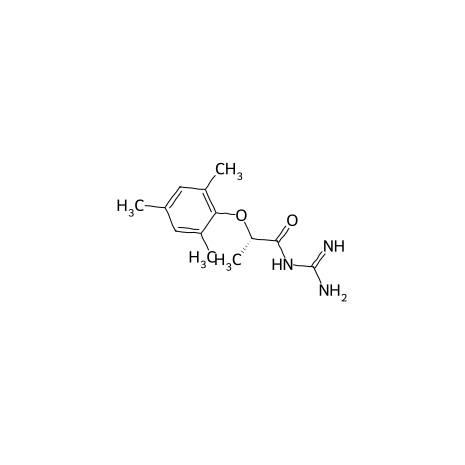 Cc1cc(C)c(O[C@@H](C)C(=O)NC(=N)N)c(C)c1